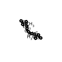 Cc1ccccc1N(c1ccc2cc3c(cc2c1)oc1cc2oc4cc5cc(N(c6ccccc6C)c6c(C)ccc7c6oc6ccccc67)ccc5cc4c2cc13)c1c(C)ccc2c1oc1ccccc12